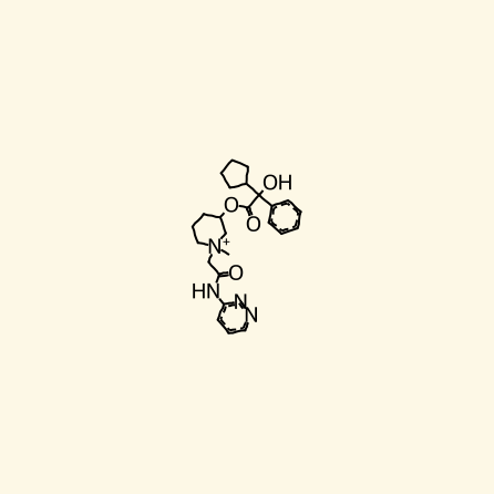 C[N+]1(CC(=O)Nc2cccnn2)CCCC(OC(=O)C(O)(c2ccccc2)C2CCCC2)C1